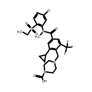 CCS(=O)(=O)c1ccc(Cl)cc1N(C)C(=O)c1cc(C2CC2)c(CN2CCN(C(=O)O)CC2)c(C(F)(F)F)c1